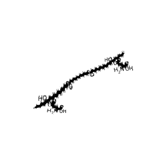 CCCCCC(O)C(CCCCCCCCCCOC(=O)CCCCCCCCCCOC(=O)CCCCCCCCCCC(O)C(CCCCC)OC(=O)CC[C@@H](N)C(=O)O)OC(=O)CC[C@H](N)C(=O)O